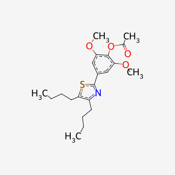 CCCCc1nc(-c2cc(OC)c(OC(C)=O)c(OC)c2)sc1CCCC